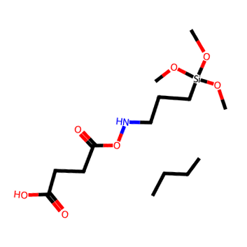 CCCC.CO[Si](CCCNOC(=O)CCC(=O)O)(OC)OC